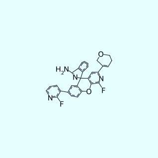 NC1=NC2(c3cc(-c4cccnc4F)ccc3Oc3c2cc(C2=CCCOC2)nc3F)c2ccccc21